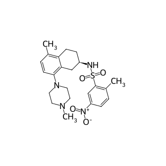 Cc1ccc([N+](=O)[O-])cc1S(=O)(=O)N[C@@H]1CCc2c(C)ccc(N3CCN(C)CC3)c2C1